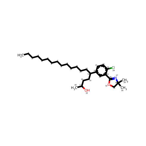 CCCCCCCCCCCCCCC(CCC(C)O)c1ccc(Cl)c(C2=NC(C)(C)CO2)c1